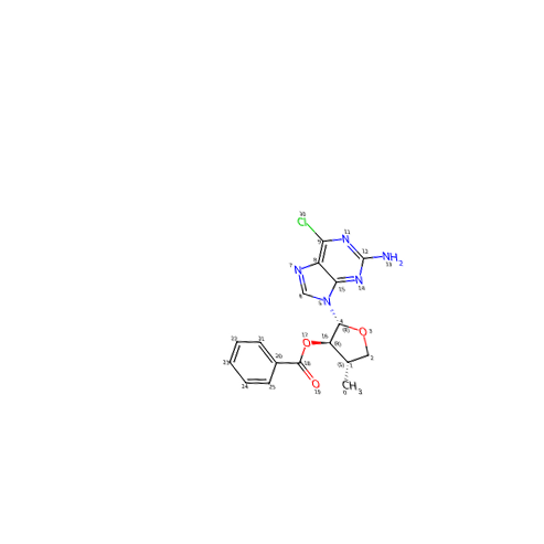 C[C@H]1CO[C@@H](n2cnc3c(Cl)nc(N)nc32)[C@@H]1OC(=O)c1ccccc1